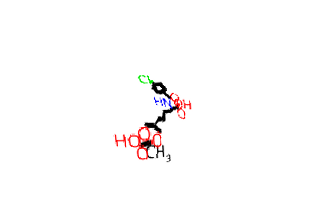 C[C@]1(C(=O)O)OC[C@@H](CCCCC(NC(=O)c2ccc(Cl)cc2)C(=O)O)CO1